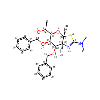 C[C@H](O)[C@H]1O[C@@H]2SC(N(C)C)=N[C@@H]2[C@@H](OCc2ccccc2)[C@H]1OCc1ccccc1